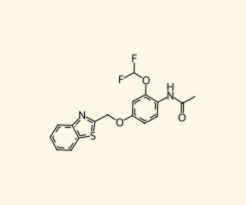 CC(=O)Nc1ccc(OCc2nc3ccccc3s2)cc1OC(F)F